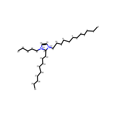 CCCCCCCCCCCCN1C=CN(CCCCC)C1CCCCCCCCC